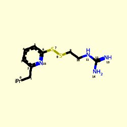 CC(C)Cc1cccc(SSCCNC(=N)N)n1